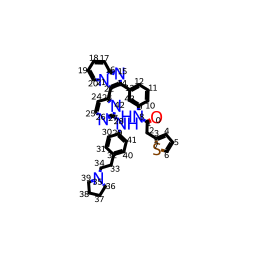 O=C(Cc1cccs1)Nc1cccc(-c2nc3ccccn3c2-c2ccnc(Nc3ccc(CCN4CCCC4)cc3)n2)c1